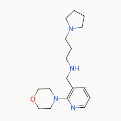 [c]1ccnc(N2CCOCC2)c1CNCCCN1CCCC1